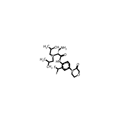 CC(C)CN(CC(C)C)[C@H](CN)C(=O)Nc1ccc(N2CCOCC2=O)cc1C(F)F